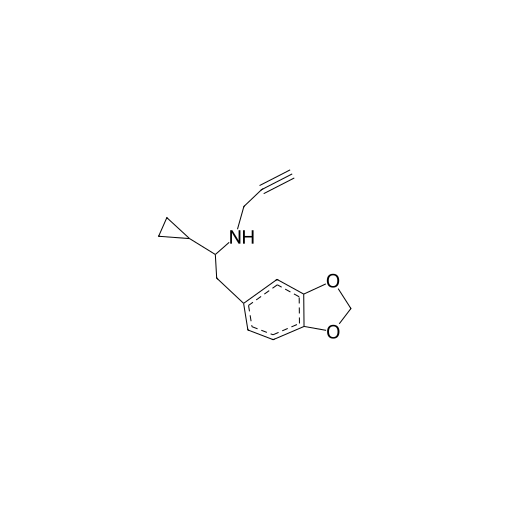 C#CCNC(Cc1ccc2c(c1)OCO2)C1CC1